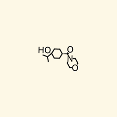 CC(C)[C@]1(O)CC[C@@H](C(=O)N2CCOCC2)CC1